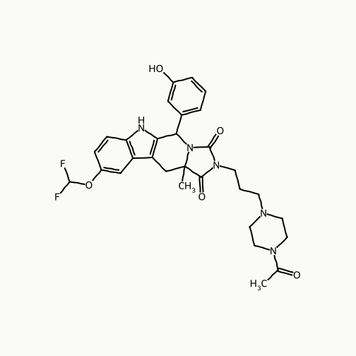 CC(=O)N1CCN(CCCN2C(=O)N3C(c4cccc(O)c4)c4[nH]c5ccc(OC(F)F)cc5c4CC3(C)C2=O)CC1